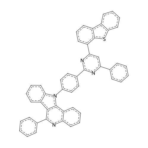 c1ccc(-c2cc(-c3cccc4c3sc3ccccc34)nc(-c3ccc(-n4c5ccccc5c5c(-c6ccccc6)nc6ccccc6c54)cc3)n2)cc1